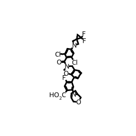 O=C(O)c1cc(F)c(-c2cccc3c2OCN(C(=O)c2c(Cl)cc(N4CC5(C4)CC5(F)F)cc2Cl)C3)cc1N1C2CCC1COC2